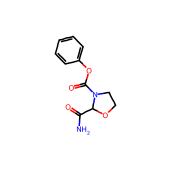 NC(=O)C1OCCN1C(=O)Oc1ccccc1